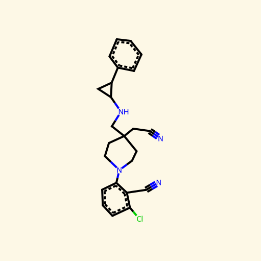 N#CCC1(CNC2CC2c2ccccc2)CCN(c2cccc(Cl)c2C#N)CC1